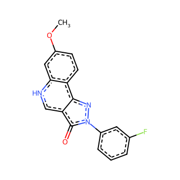 COc1ccc2c3nn(-c4cccc(F)c4)c(=O)c-3c[nH]c2c1